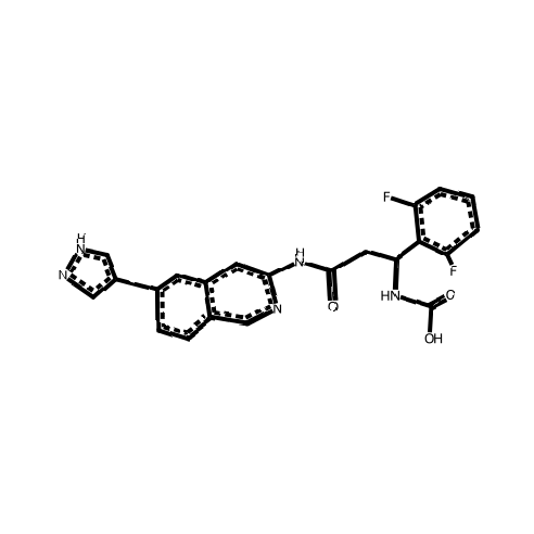 O=C(O)NC(CC(=O)Nc1cc2cc(-c3cn[nH]c3)ccc2cn1)c1c(F)cccc1F